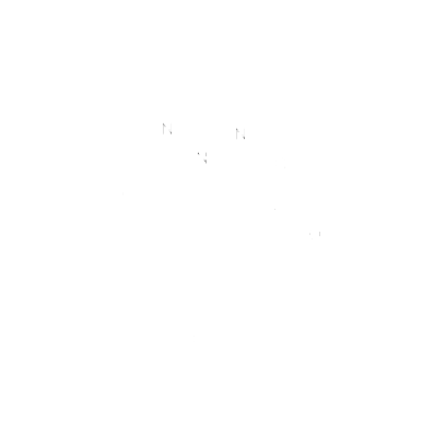 COc1ccc(-n2nccn2)c(C(=O)[O-])c1.[K+]